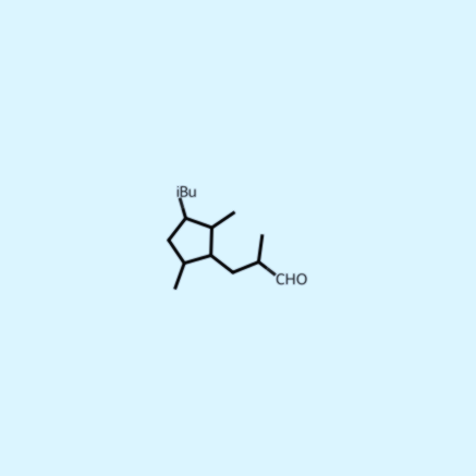 CCC(C)C1CC(C)C(CC(C)C=O)C1C